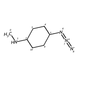 CNC1CCC(N=[N+]=[N-])CC1